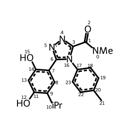 CNC(=O)c1nnc(-c2cc(C(C)C)c(O)cc2O)n1-c1ccc(C)cc1